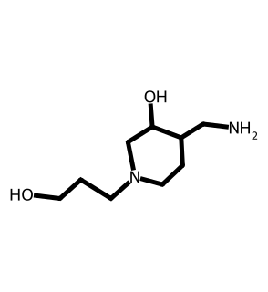 NCC1CCN(CCCO)CC1O